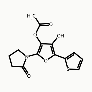 CC(=O)Oc1c(N2CCCC2=O)oc(-c2cccs2)c1O